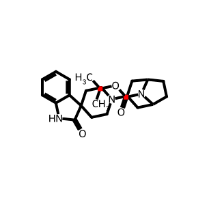 CC(C)OC(=O)N1C2CCC1CC(N1CCC3(CC1)C(=O)Nc1ccccc13)C2